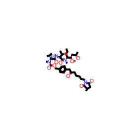 CC[C@H](C)[C@@H]([C@@H](CC(C)=O)OC)N(C)C(=O)[C@@H](NC(=O)[C@H](C(C)C)N(C)C(=O)OCc1ccc(CC(=O)CCCCCN2C(=O)CC(C)C2=O)cc1)C(C)C